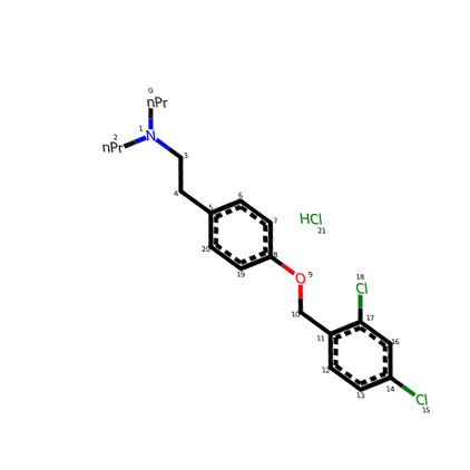 CCCN(CCC)CCc1ccc(OCc2ccc(Cl)cc2Cl)cc1.Cl